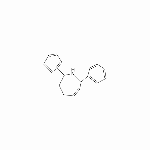 C1=CC(c2ccccc2)NC(c2ccccc2)CC1